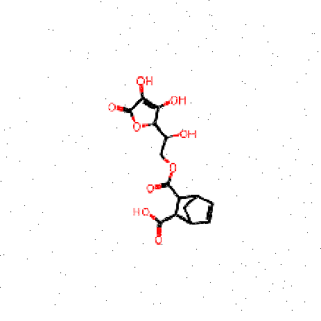 O=C1O[C@H]([C@@H](O)COC(=O)C2C3C=CC(C3)C2C(=O)O)C(O)=C1O